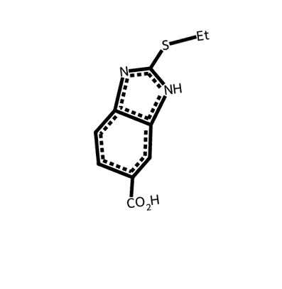 CCSc1nc2ccc(C(=O)O)cc2[nH]1